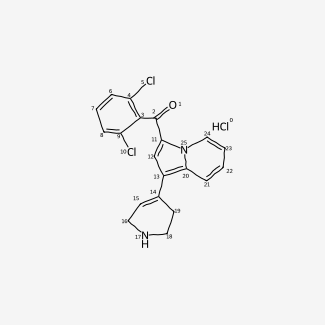 Cl.O=C(c1c(Cl)cccc1Cl)c1cc(C2=CCNCC2)c2ccccn12